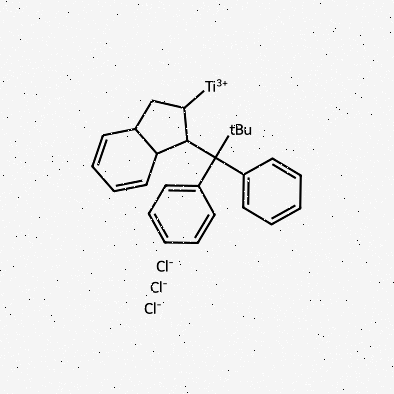 CC(C)(C)C(c1ccccc1)(c1ccccc1)C1[CH]([Ti+3])CC2C=CC=CC21.[Cl-].[Cl-].[Cl-]